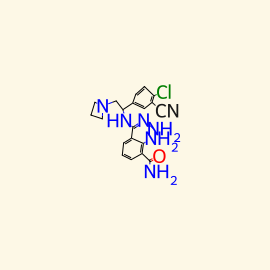 N#Cc1cc(C(CN2CCC2)N/C(=N/N)c2cccc(C(N)=O)c2N)ccc1Cl